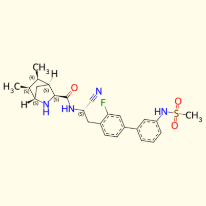 C[C@@H]1[C@H](C)[C@@H]2C[C@@H]1[C@@H](C(=O)N[C@H](C#N)Cc1ccc(-c3cccc(NS(C)(=O)=O)c3)cc1F)N2